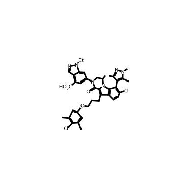 CCn1ncc2c(C(=O)O)cc(N3CC(C)n4c(c(CCCOc5cc(C)c(Cl)c(C)c5)c5ccc(Cl)c(-c6c(C)nn(C)c6C)c54)C3=O)cc21